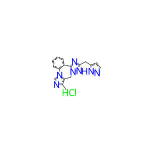 Cc1ncn2c1Cn1nc(Cc3ccn[nH]3)nc1-c1ccccc1-2.Cl